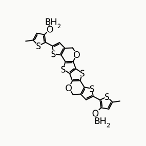 BOc1cc(C)sc1-c1cc2c(s1)-c1sc3c4c(sc3c1OC2)-c1sc(-c2sc(C)cc2OB)cc1CO4